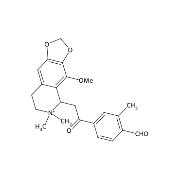 COc1c2c(cc3c1C(CC(=O)c1ccc(C=O)c(C)c1)[N+](C)(C)CC3)OCO2